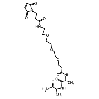 CC(NC(=O)[C@@H](C)NC(=O)CCOCCOCCOCCNC(=O)CCN1C(=O)C=CC1=O)C(N)=O